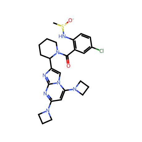 C[S+]([O-])Nc1ccc(Cl)cc1C(=O)N1CCCCC1c1cn2c(N3CCC3)cc(N3CCC3)nc2n1